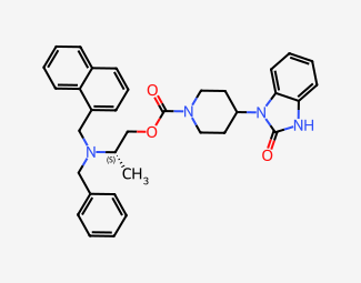 C[C@@H](COC(=O)N1CCC(n2c(=O)[nH]c3ccccc32)CC1)N(Cc1ccccc1)Cc1cccc2ccccc12